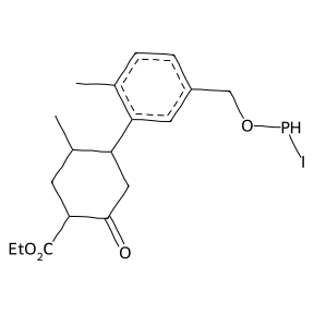 CCOC(=O)C1CC(C)C(c2cc(COPI)ccc2C)CC1=O